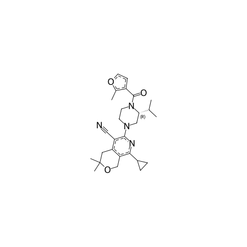 Cc1occc1C(=O)N1CCN(c2nc(C3CC3)c3c(c2C#N)CC(C)(C)OC3)C[C@H]1C(C)C